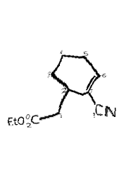 CCOC(=O)CC1CCCC=C1C#N